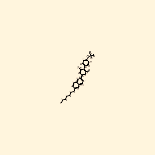 CCCCCCCc1ccc2cc(-c3cc(F)c(-c4ccc(OC(F)(F)F)cc4)c(F)c3)ccc2c1